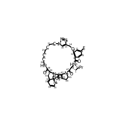 CC(C)C[C@H]1NC(=O)c2ccc(F)cc2OCc2cn(nn2)CCCCCCCNC(=O)[C@H](Cc2cccnc2)N(C)C(=O)[C@H]2CCCN2C1=O